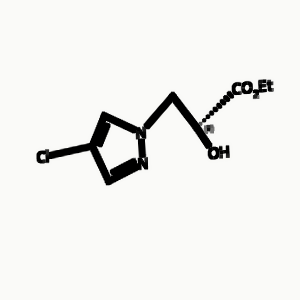 CCOC(=O)[C@H](O)Cn1cc(Cl)cn1